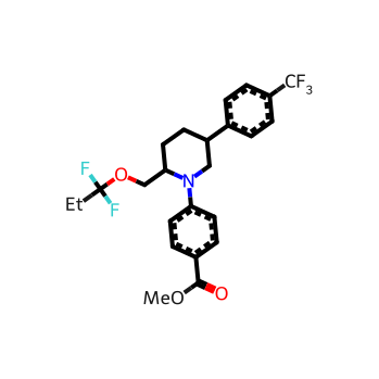 CCC(F)(F)OCC1CCC(c2ccc(C(F)(F)F)cc2)CN1c1ccc(C(=O)OC)cc1